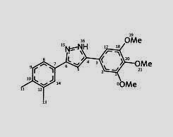 COc1cc(-c2cc(-c3ccc(C)c(C)c3)n[nH]2)cc(OC)c1OC